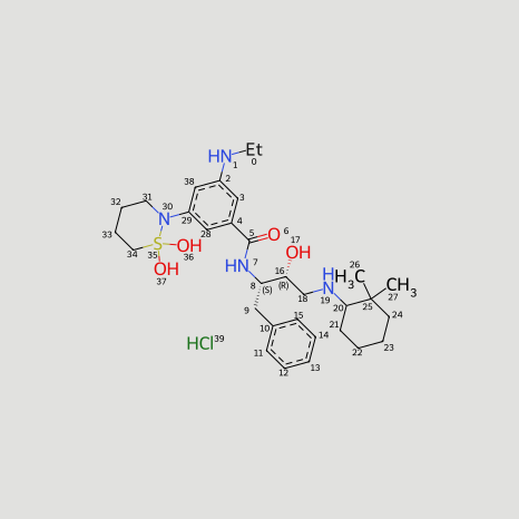 CCNc1cc(C(=O)N[C@@H](Cc2ccccc2)[C@H](O)CNC2CCCCC2(C)C)cc(N2CCCCS2(O)O)c1.Cl